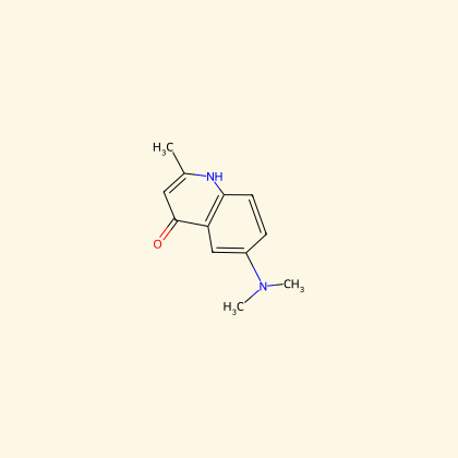 Cc1cc(=O)c2cc(N(C)C)ccc2[nH]1